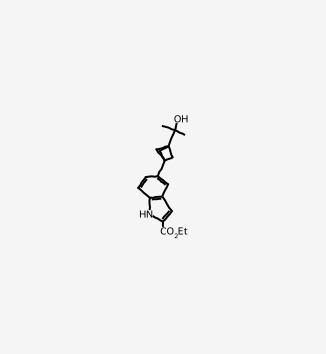 CCOC(=O)c1cc2cc(C34CC(C(C)(C)O)(C3)C4)ccc2[nH]1